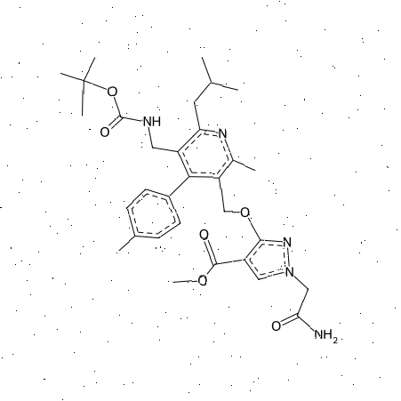 COC(=O)c1cn(CC(N)=O)nc1OCc1c(C)nc(CC(C)C)c(CNC(=O)OC(C)(C)C)c1-c1ccc(C)cc1